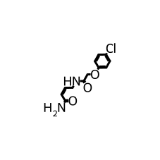 NC(=O)/C=C\CNC(=O)COc1ccc(Cl)cc1